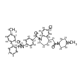 Cc1ccc(-c2ccccc2C(=O)Nc2ccc(C(=O)N3CCCC(CC(=O)N4CCN(C)CC4)c4cc(Cl)ccc43)cc2)cc1